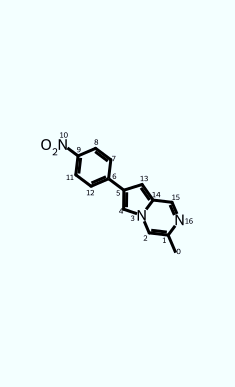 Cc1cn2cc(-c3ccc([N+](=O)[O-])cc3)cc2cn1